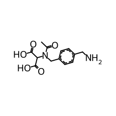 CC(=O)N(Cc1ccc(CN)cc1)C(C(=O)O)C(=O)O